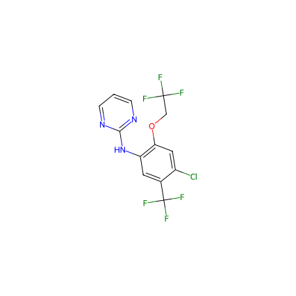 FC(F)(F)COc1cc(Cl)c(C(F)(F)F)cc1Nc1ncccn1